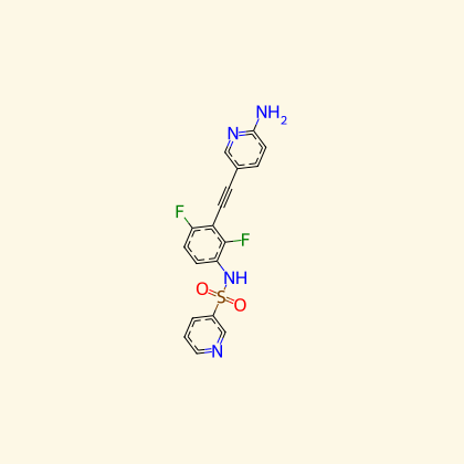 Nc1ccc(C#Cc2c(F)ccc(NS(=O)(=O)c3cccnc3)c2F)cn1